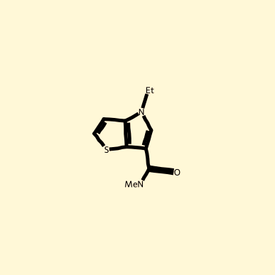 CCn1cc(C(=O)NC)c2sccc21